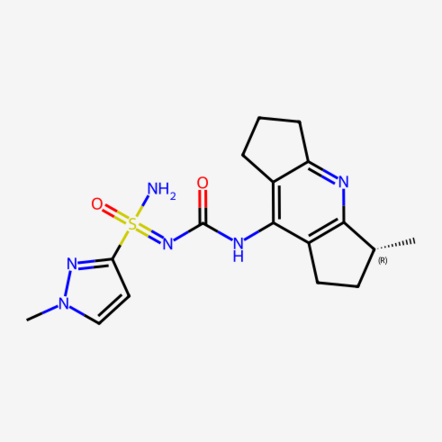 C[C@@H]1CCc2c1nc1c(c2NC(=O)N=S(N)(=O)c2ccn(C)n2)CCC1